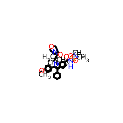 COc1ccc(-c2c(C3CCCCC3)c3ccc(C(=O)NS(=O)(=O)N(C)C)cc3n2CC(C)(C)C(=O)N2C3CCC2COC3)c(C)c1